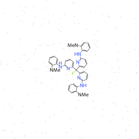 CNc1ccccc1Nc1cccc(C(F)(c2cccc(Nc3ccccc3NC)n2)c2cccc(Nc3ccccc3NC)n2)n1